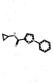 O=C(NC1CC1)c1ccn(-c2ccccc2)n1